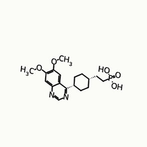 COc1cc2ncnc([C@H]3CC[C@@H](CCP(=O)(O)O)CC3)c2cc1OC